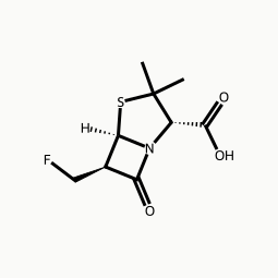 CC1(C)S[C@@H]2[C@H](CF)C(=O)N2[C@H]1C(=O)O